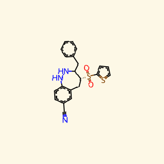 N#Cc1ccc2c(c1)C[C@@H](S(=O)(=O)c1cccs1)C(Cc1ccccc1)NN2